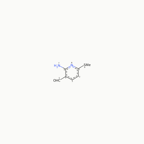 CSc1ccc(C=O)c(N)n1